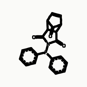 O=C1C2C=CC1C1C(=O)N(P(c3ccccc3)c3ccccc3)C(=O)C21